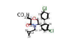 O=C(O)C=C1O[C@H](c2cccc(Cl)c2)[C@@H](c2ccc(Cl)cc2)N(CC2CC2)C1=O